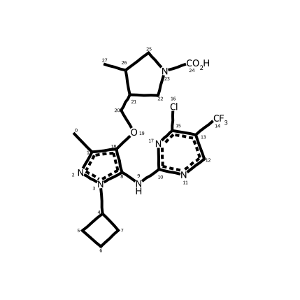 Cc1nn(C2CCC2)c(Nc2ncc(C(F)(F)F)c(Cl)n2)c1OCC1CN(C(=O)O)CC1C